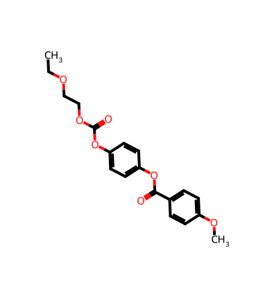 CCOCCOC(=O)Oc1ccc(OC(=O)c2ccc(OC)cc2)cc1